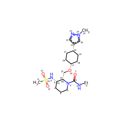 CCNC(=O)N1CCC[C@H](NS(C)(=O)=O)[C@@H]1CO[C@H]1CC[C@@H](c2cnn(C)c2)CC1